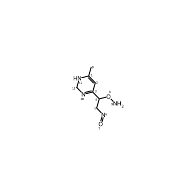 CC1=CC(C(CN=O)ON)=NCN1